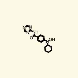 O=C(Nc1ncncn1)c1ccc(N(O)C2CCCCC2)cc1